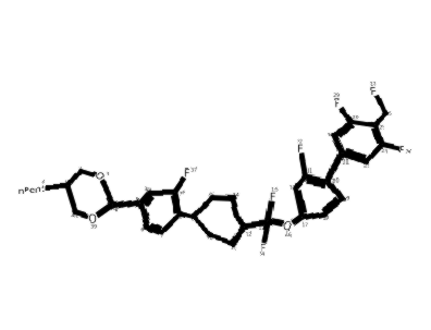 CCCCCC1COC(c2ccc(C3CCC(C(F)(F)Oc4ccc(-c5cc(F)c(CF)c(F)c5)c(F)c4)CC3)c(F)c2)OC1